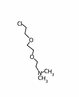 CN(C)CCOCCOCCCl